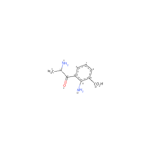 CC(N)C(=O)c1cccc(C(=O)O)c1N